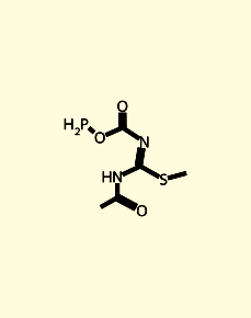 CSC(=NC(=O)OP)NC(C)=O